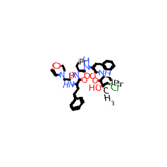 CC(C)CC(NC(=O)C(CCc1ccccc1)NC(=O)CN1CCOCC1)C(=O)NC(Cc1ccccc1)C(=O)N[C@@H](CC(C)C)C(=O)C(C)(O)CCl